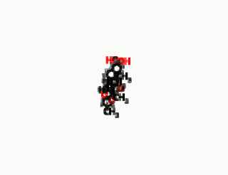 CC1CC[C@@]2(OC1)O[C@H]1C[C@H]3[C@@H]4CCC5CC(O)(O)CC[C@]5(C)C4=CC(=O)[C@]3(C)[C@H]1[C@@H]2C